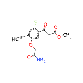 C#Cc1cc(F)c(C(=O)CC(=O)OC)cc1OCC(N)=O